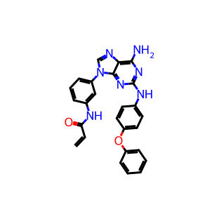 C=CC(=O)Nc1cccc(-n2cnc3c(N)nc(Nc4ccc(Oc5ccccc5)cc4)nc32)c1